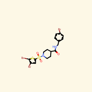 O=C(NCc1ccc(Br)cc1)C1CCN(S(=O)(=O)c2cc(Br)c(Br)s2)CC1